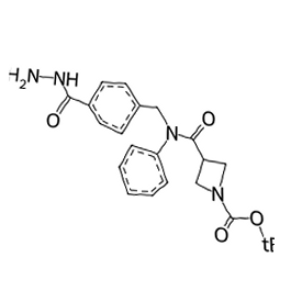 CC(C)(C)OC(=O)N1CC(C(=O)N(Cc2ccc(C(=O)NN)cc2)c2ccccc2)C1